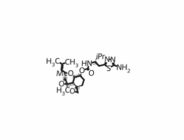 CO[C@@H]1[C@H](OC(=O)N[C@@H](Cc2nnc(N)s2)C(C)C)CC[C@]2(CO2)[C@H]1[C@@]1(C)O[C@@H]1CC=C(C)C